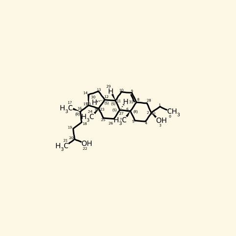 CC[C@]1(O)CC[C@@]2(C)C(=CC[C@H]3[C@@H]4CC[C@H]([C@H](C)CCC(C)O)[C@@]4(C)CC[C@@H]32)C1